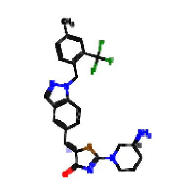 Cc1ccc(Cn2ncc3cc(/C=C4\SC(N5CCC[C@H](N)C5)=NC4=O)ccc32)c(C(F)(F)F)c1